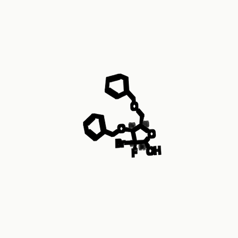 O[C@@H]1O[C@H](COCc2ccccc2)[C@H](OCc2ccccc2)[C@]1(F)Br